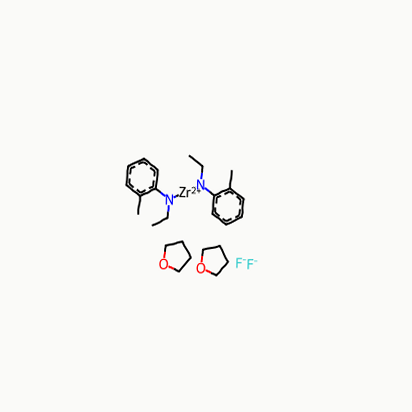 C1CCOC1.C1CCOC1.CC[N]([Zr+2][N](CC)c1ccccc1C)c1ccccc1C.[F-].[F-]